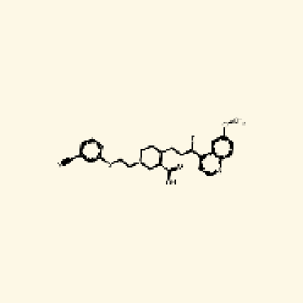 COc1ccc2nccc(C(F)CC[C@@H]3CCN(CCSc4cccc(C#N)c4)C[C@@H]3C(=O)O)c2c1